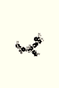 CC(C)c1ccccc1C1CCCN1C1CC2(CCN(C3=CNC(C(=O)NSc4ccc(NCC5CNCCO5)c([N+](=O)[O-])c4)C(Oc4cnc5[nH]ccc5c4)=C3)CC2)C1